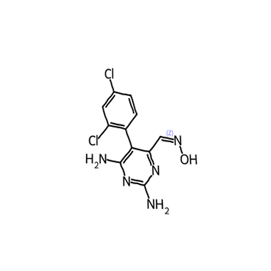 Nc1nc(N)c(-c2ccc(Cl)cc2Cl)c(/C=N\O)n1